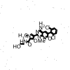 COn1c(=O)c(-c2c(Cl)cccc2Cl)cc2c(N)nc(-c3cc(C(=O)NCCO)n(C)c3)nc21